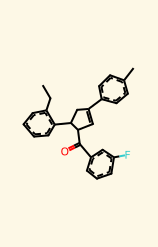 CCc1ccccc1C1CC(c2ccc(C)cc2)=CC1C(=O)c1cccc(F)c1